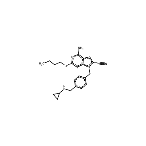 CCCCOc1nc(N)c2cc(C#N)n(Cc3ccc(CNC4CC4)cc3)c2n1